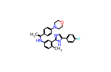 C=C(Nc1ccc(C)c(-c2ncc(-c3ccc(F)cc3)[nH]2)c1)c1ccc(N2CCOCC2)cc1